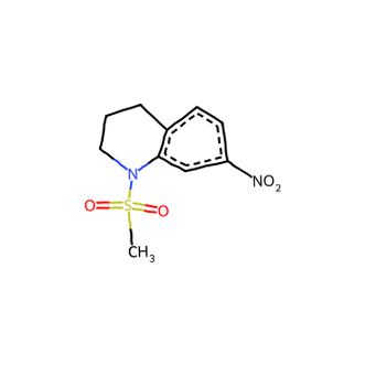 CS(=O)(=O)N1CCCc2ccc([N+](=O)[O-])cc21